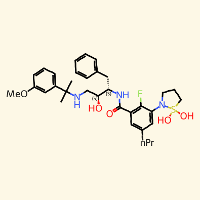 CCCc1cc(C(=O)N[C@@H](Cc2ccccc2)[C@@H](O)CNC(C)(C)c2cccc(OC)c2)c(F)c(N2CCCS2(O)O)c1